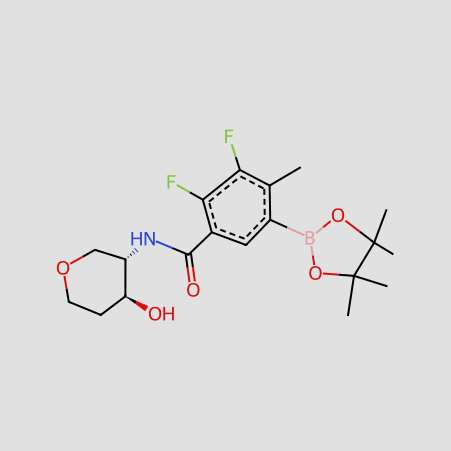 Cc1c(B2OC(C)(C)C(C)(C)O2)cc(C(=O)N[C@H]2COCC[C@@H]2O)c(F)c1F